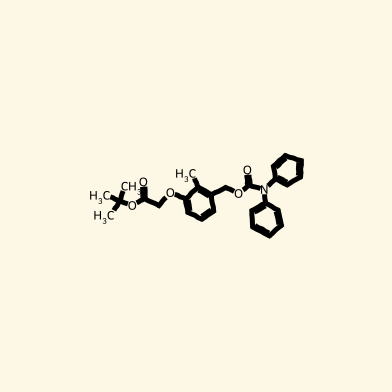 Cc1c(COC(=O)N(c2ccccc2)c2ccccc2)cccc1OCC(=O)OC(C)(C)C